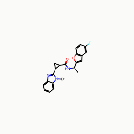 CCn1c([C@H]2CC2C(=O)N[C@H](C)c2cc3cc(F)ccc3o2)nc2ccccc21